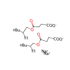 CCCCC(CC)COC(=O)CCC(=O)[O-].CCCCC(CC)COC(=O)CCC(=O)[O-].[Na+].[Na+]